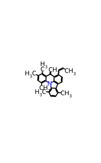 C=c1c2c(C)c(C)cc(C)c2n2c3c(C)ccc(C)c3c3ccc(/C=C\C)c1c32